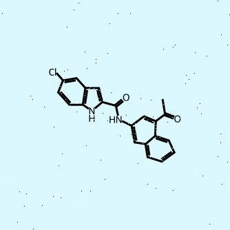 CC(=O)c1cc(NC(=O)c2cc3cc(Cl)ccc3[nH]2)cc2ccccc12